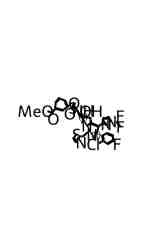 COC(=O)c1cccc(S(=O)(=O)NC[C@@]2(O)CC3=C(c4ccn(C(F)F)n4)[C@H](c4ccc(F)cc4Cl)N=C(c4nccs4)N3C2)c1